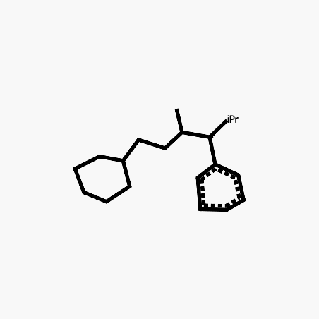 CC(C)[C](c1ccccc1)C(C)CCC1CCCCC1